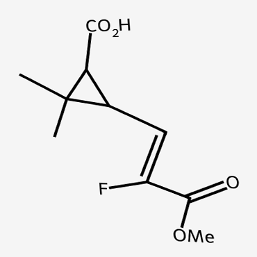 COC(=O)/C(F)=C/C1C(C(=O)O)C1(C)C